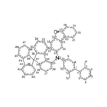 Cc1ccccc1-c1ccc(N(c2ccc3oc4ccccc4c3c2)c2cccc3c2-c2ccccc2C32c3ccccc3-c3ccccc32)cc1C